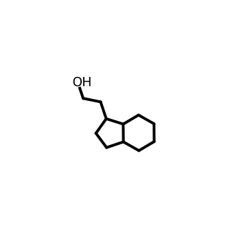 OCCC1CCC2CCCCC12